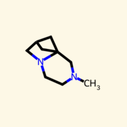 CN1CCN2CC3CC2(C3)C1